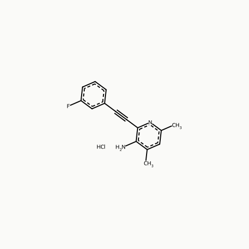 Cc1cc(C)c(N)c(C#Cc2cccc(F)c2)n1.Cl